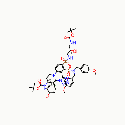 COc1ccc(CN(Cc2ccc(OC)cc2)S(=O)(=O)c2c(S(=O)(=O)NC[C@H](O)CNC(=O)OC(C)(C)C)ccc(N3CC[C@H](NC(=O)OC(C)(C)C)[C@H](F)C3)c2-c2nnnn2Cc2ccc(OC)cc2)cc1